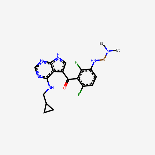 CCN(CC)SNc1ccc(F)c(C(=O)c2c[nH]c3ncnc(NCC4CC4)c23)c1F